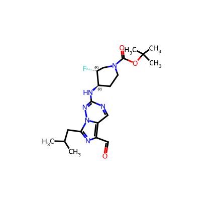 CC(C)Cc1nc(C=O)c2cnc(N[C@@H]3CCN(C(=O)OC(C)(C)C)C[C@H]3F)nn12